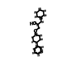 OC(CON1CCC(c2cccnc2)CC1)CN1CCCCC1